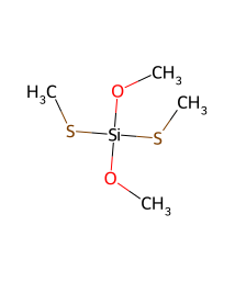 CO[Si](OC)(SC)SC